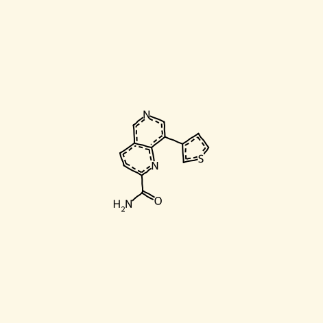 NC(=O)c1ccc2cncc(-c3ccsc3)c2n1